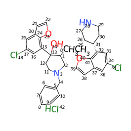 CC1CN(Cc2ccccc2)CCC1(O)c1cc(Cl)cc2ccoc12.C[C@@H]1CNCC[C@@H]1c1cc(Cl)cc2ccoc12.Cl